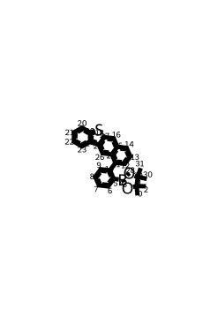 CC1(C)OB(c2ccccc2-c2cccc3cc4sc5ccccc5c4cc23)OC1(C)C